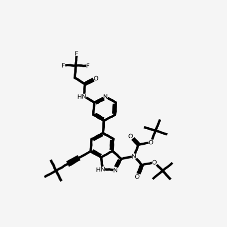 CC(C)(C)C#Cc1cc(-c2ccnc(NC(=O)CC(F)(F)F)c2)cc2c(N(C(=O)OC(C)(C)C)C(=O)OC(C)(C)C)n[nH]c12